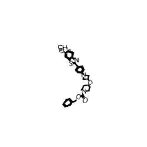 COc1ccc2nc(-c3ccc(N4CC(OC5CCN(C(=O)OCc6ccccc6)CC5)C4)cc3)sc2c1